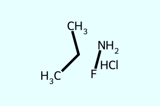 CCC.Cl.NF